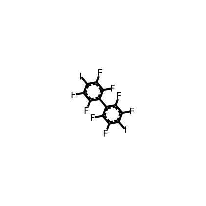 Fc1c(F)c(-c2c(F)c(F)c(I)c(F)c2F)c(F)c(F)c1I